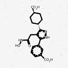 O=C(Cc1c(-c2cccc(C(=O)O)c2)[nH]nc1[C@H]1CC[C@H](C(=O)O)CC1)NO